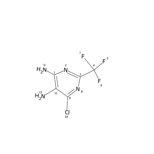 Nc1nc(C(F)(F)F)nc(Cl)c1N